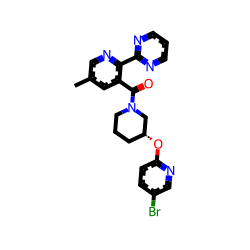 Cc1cnc(-c2ncccn2)c(C(=O)N2CCC[C@@H](Oc3ccc(Br)cn3)C2)c1